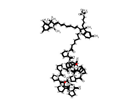 Cc1ccc2c(c1)C(C)(CCCCS(=O)(=O)O)C(/C=C/C=C/C=C/C=C1\N(C)c3cc(I)cc(I)c3C1(C)C)=[N+]2CCCCCC(=O)N1CCCC1C(=O)N1CCCC1C(=O)N1CCCC1C(=O)N1CCCC1C(=O)N1CCCC1C(=O)N1CCCC1C(=O)N1CCCC1C(=O)N1CCCC1C(=O)N1CCCC1C(=O)N1CCCC1C(=O)ON1C(=O)CCC1=O